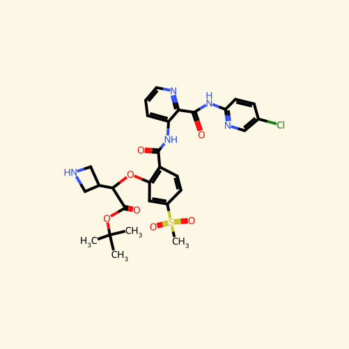 CC(C)(C)OC(=O)C(Oc1cc(S(C)(=O)=O)ccc1C(=O)Nc1cccnc1C(=O)Nc1ccc(Cl)cn1)C1CNC1